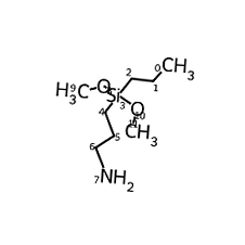 CCC[Si](CCCN)(OC)OC